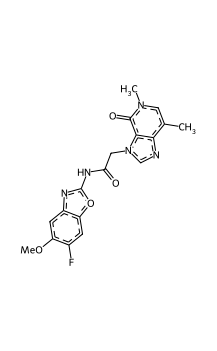 COc1cc2nc(NC(=O)Cn3cnc4c(C)cn(C)c(=O)c43)oc2cc1F